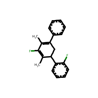 CC1=C(c2ccccc2)[CH]C(c2ccccc2F)C(C)=C1F